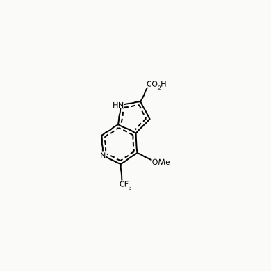 COc1c(C(F)(F)F)ncc2[nH]c(C(=O)O)cc12